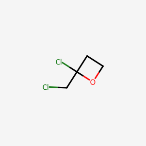 ClCC1(Cl)CCO1